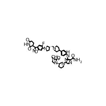 CN1CCN([C@@H]2CCCN(c3cnc(C(N)=O)c(Nc4ccc(C5CCN(C[C@@H]6CCN(c7cc8onc(C9CCC(=O)NC9=O)c8cc7F)C6)CC5)cc4)n3)C2)C1=O